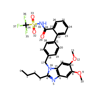 CCCCc1nc2cc(OC)c(OC)cc2n1Cc1ccc(-c2ccccc2C(=O)NS(=O)(=O)C(F)(F)F)cc1